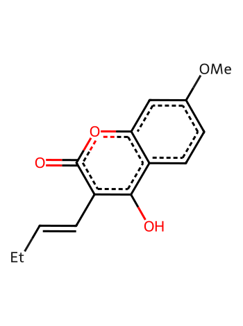 CCC=Cc1c(O)c2ccc(OC)cc2oc1=O